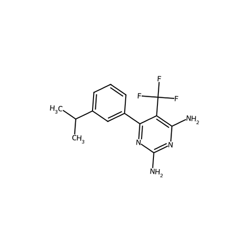 CC(C)c1cccc(-c2nc(N)nc(N)c2C(F)(F)F)c1